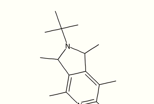 Cc1nc(C)c2c(c1C)C(C)N(C(C)(C)C)C2C